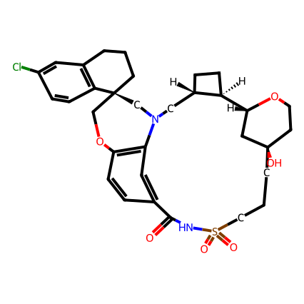 O=C1NS(=O)(=O)CCC[C@@]2(O)CCO[C@H](C2)[C@@H]2CC[C@H]2CN2C[C@@]3(CCCc4cc(Cl)ccc43)COc3ccc1cc32